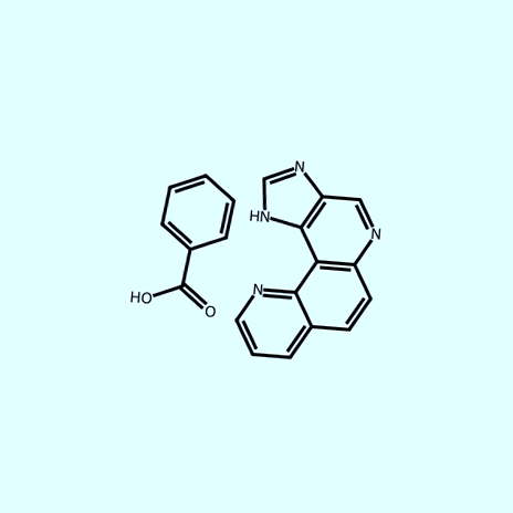 O=C(O)c1ccccc1.c1cnc2c(c1)ccc1ncc3nc[nH]c3c12